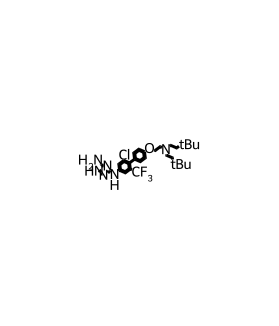 CC(C)(C)CCN(CCOc1ccc(-c2c(Cl)cc(Nc3n[nH]c(N)n3)cc2C(F)(F)F)cc1)CCC(C)(C)C